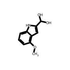 COc1cccc2[nH]c(C(O)O)cc12